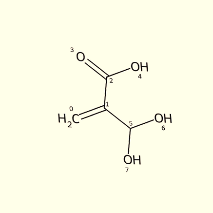 C=C(C(=O)O)C(O)O